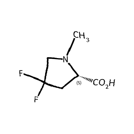 CN1CC(F)(F)C[C@H]1C(=O)O